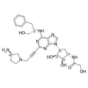 N[C@@H]1CCN(CC#Cc2nc(N[C@H](CO)Cc3ccccc3)c3ncn([C@@H]4C[C@H](NC(=O)CO)[C@@H](O)[C@H]4O)c3n2)C1